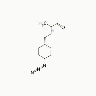 C/C(C=O)=C\C[C@H]1CC[C@H](N=[N+]=[N-])CC1